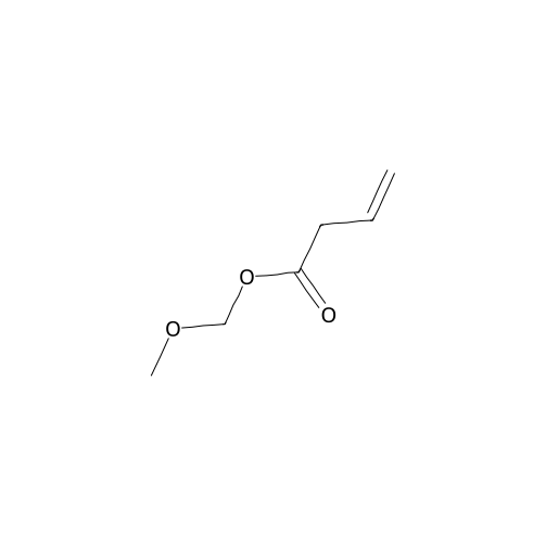 C=CCC(=O)OCOC